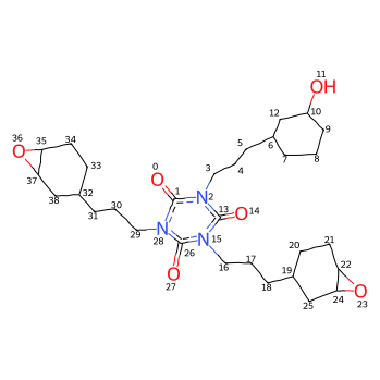 O=c1n(CCCC2CCCC(O)C2)c(=O)n(CCCC2CCC3OC3C2)c(=O)n1CCCC1CCC2OC2C1